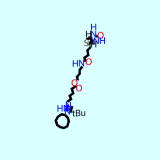 CC(C)(C)C1CN(CCCCCC(=O)OCCCCCNC(=O)CCCC[C@H]2SC[C@@H]3NC(=O)N[C@@H]32)NN1C1CCCCCCCCC1